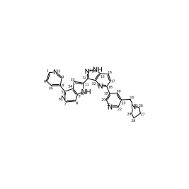 c1cncc(-c2nccc3[nH]c(-c4n[nH]c5ccc(-c6cncc(CN7CCCC7)c6)nc45)cc23)c1